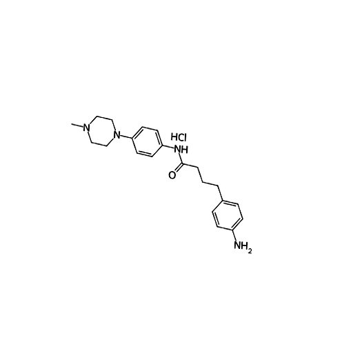 CN1CCN(c2ccc(NC(=O)CCCc3ccc(N)cc3)cc2)CC1.Cl